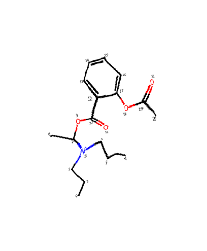 CCCN(CCC)C(C)OC(=O)c1ccccc1OC(C)=O